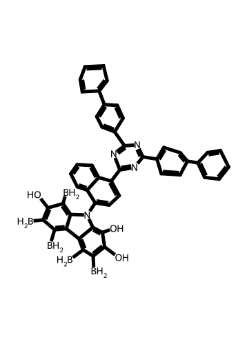 Bc1c(O)c(B)c2c(c1B)c1c(B)c(B)c(O)c(O)c1n2-c1ccc(-c2nc(-c3ccc(-c4ccccc4)cc3)nc(-c3ccc(-c4ccccc4)cc3)n2)c2ccccc12